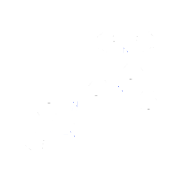 c1ccc(-c2cc3c4ccccc4n(-c4ccccc4)c3cc2Nc2cccc(C/N=C(/c3cccc4c3sc3ccccc34)C3CN3)c2)cc1